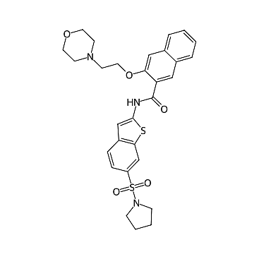 O=C(Nc1cc2ccc(S(=O)(=O)N3CCCC3)cc2s1)c1cc2ccccc2cc1OCCN1CCOCC1